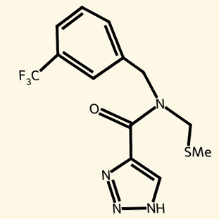 CSCN(Cc1cccc(C(F)(F)F)c1)C(=O)c1c[nH]nn1